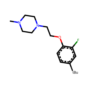 CN1CCN(CCOc2ccc(C(C)(C)C)cc2F)CC1